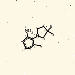 Cc1cccc([N+](=O)[O-])c1N1CCC(C)(C)C1